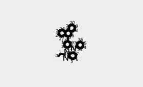 CCc1nc2cccc3c2n1-c1ccc(-c2cc4ccccc4c4ccccc24)cc1N3c1ccccc1